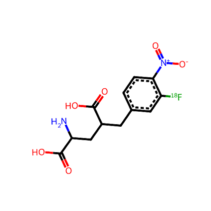 NC(CC(Cc1ccc([N+](=O)[O-])c([18F])c1)C(=O)O)C(=O)O